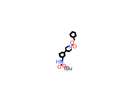 CC(C)(C)OC(=O)NCc1cccc(C2=CCN(C(=O)OCc3ccccc3)CC2)c1